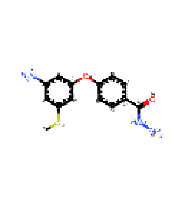 CSc1cc(N)cc(Oc2ccc(C(=O)NN)cc2)c1